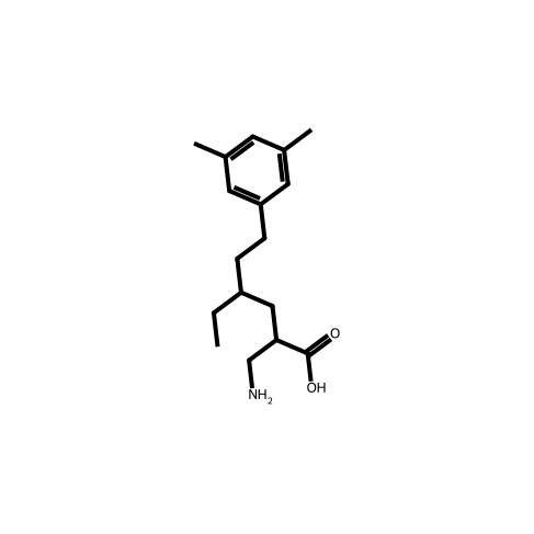 CCC(CCc1cc(C)cc(C)c1)CC(CN)C(=O)O